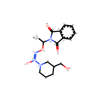 CC(O/N=[N+](/[O-])N1CCCC(CO)C1)N1C(=O)c2ccccc2C1=O